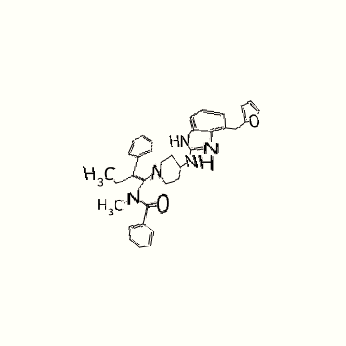 CCC(c1ccccc1)C(N1CCC(Nc2nc3c(Cc4ccco4)cccc3[nH]2)CC1)N(C)C(=O)c1ccccc1